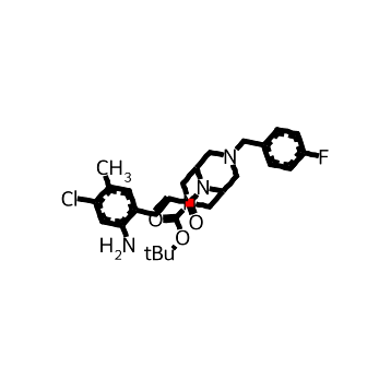 Cc1cc(C=CC(=O)N2C3CN(Cc4ccc(F)cc4)CC2CN(C(=O)OC(C)(C)C)C3)c(N)cc1Cl